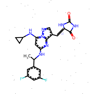 CC(Nc1cc(NC2CC2)n2ncc(/C=C3\NC(=O)NC3=O)c2n1)c1cc(F)cc(F)c1